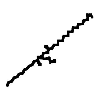 CCCCCCCCCCCCC(=O)O[C@@H](COP=O)COC(=O)CCCCCCCCCCCCCCCN